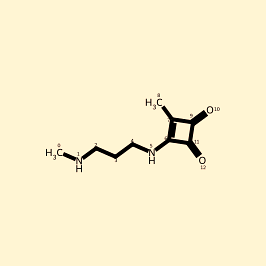 CNCCCNc1c(C)c(=O)c1=O